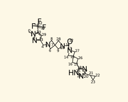 Cn1nc(CN2CC3(C2)CN(C(=O)N2CC4(CC(c5nc(C6CC6)n[nH]5)C4)C2)C3)cc1C(F)(F)F